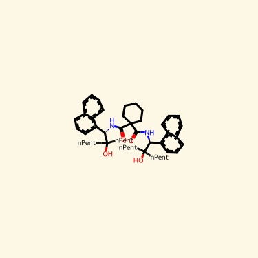 CCCCCC(O)(CCCCC)[C@@H](NC(=O)C1(C(=O)N[C@@H](c2cccc3ccccc23)C(O)(CCCCC)CCCCC)CCCCC1)c1cccc2ccccc12